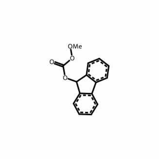 COOC(=O)OC1c2ccccc2-c2ccccc21